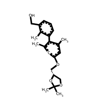 Cc1cc(OC[C@@H]2COC(C)(C)O2)cc(C)c1-c1cccc(CO)c1C